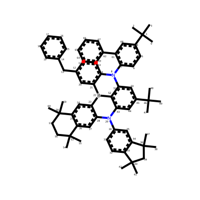 CC(C)(C)c1ccc(N2c3ccc(Cc4ccccc4)cc3B3c4cc5c(cc4N(c4ccc6c(c4)C(C)(C)CC6(C)C)c4cc(C(C)(C)C)cc2c43)C(C)(C)CCC5(C)C)c(-c2ccccc2)c1